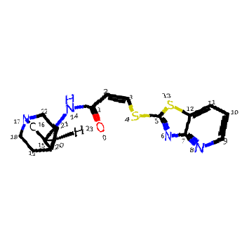 O=C(/C=C\Sc1nc2ncccc2s1)N[C@H]1CN2CCC1CC2